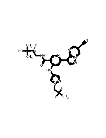 CC(F)(F)Cn1cc(Nc2cc(-c3cnn4cc(C#N)cnc34)ncc2C(=O)NC[C@@H](F)C(C)(C)O)cn1